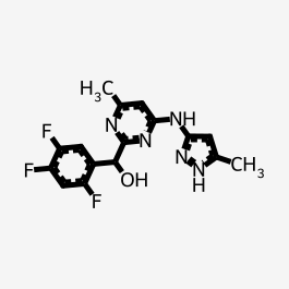 Cc1cc(Nc2cc(C)[nH]n2)nc(C(O)c2cc(F)c(F)cc2F)n1